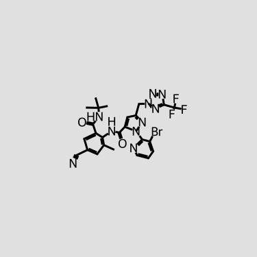 Cc1cc(C#N)cc(C(=O)NC(C)(C)C)c1NC(=O)c1cc(Cn2nnc(C(F)(F)F)n2)nn1-c1ncccc1Br